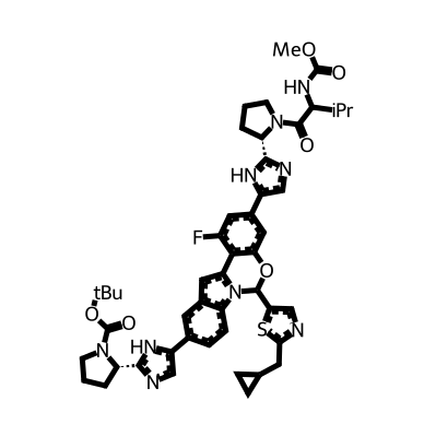 COC(=O)NC(C(=O)N1CCC[C@H]1c1ncc(-c2cc(F)c3c(c2)OC(c2cnc(CC4CC4)s2)n2c-3cc3cc(-c4cnc([C@@H]5CCCN5C(=O)OC(C)(C)C)[nH]4)ccc32)[nH]1)C(C)C